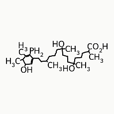 CC1=C(P)C(CCC(C)CCCC(C)(O)CCCC(C)(O)CCCC(C)C(=O)O)=CC(O)C1C